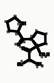 CCC(C)C(N)C(=O)C1(C(=O)O)CCCN1C(=O)C1CCCN1